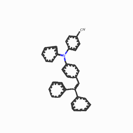 N#Cc1ccc(N(c2ccccc2)c2ccc(C=C(c3ccccc3)c3ccccc3)cc2)cc1